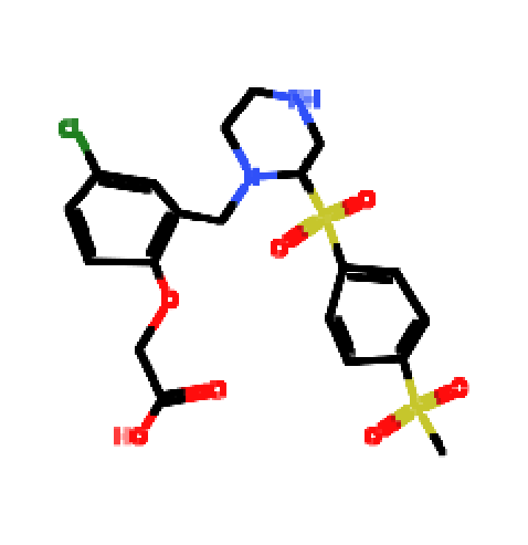 CS(=O)(=O)c1ccc(S(=O)(=O)C2CNCCN2Cc2cc(Cl)ccc2OCC(=O)O)cc1